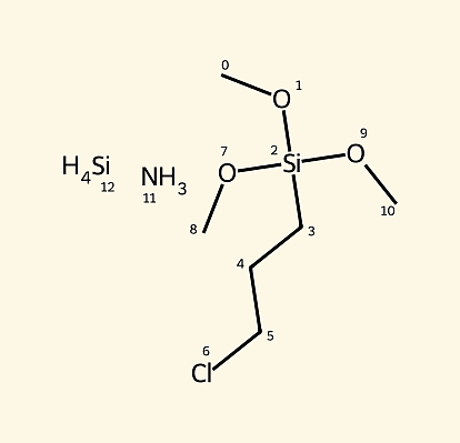 CO[Si](CCCCl)(OC)OC.N.[SiH4]